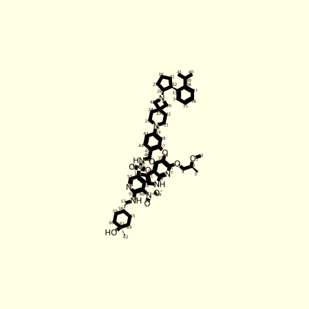 CO[C@@H](C)COc1nc2[nH]cc(F)c2cc1Oc1cc(N2CCC3(CC2)CN([C@H]2CCC[C@H]2c2ccccc2C(C)C)C3)ccc1C(=O)NS(=O)(=O)c1cnc(NC[C@H]2CC[C@](C)(O)CC2)c([N+](=O)[O-])c1